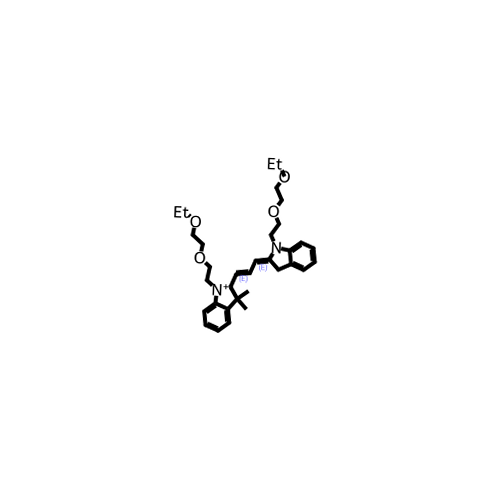 CCOCCOCCN1/C(=C/C=C/C2=[N+](CCOCCOCC)c3ccccc3C2(C)C)Cc2ccccc21